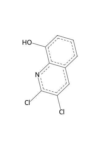 Oc1cccc2cc(Cl)c(Cl)nc12